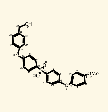 COc1ccc(Oc2ccc(S(=O)(=O)c3ccc(Oc4ccc(CO)cc4)cc3)cc2)cc1